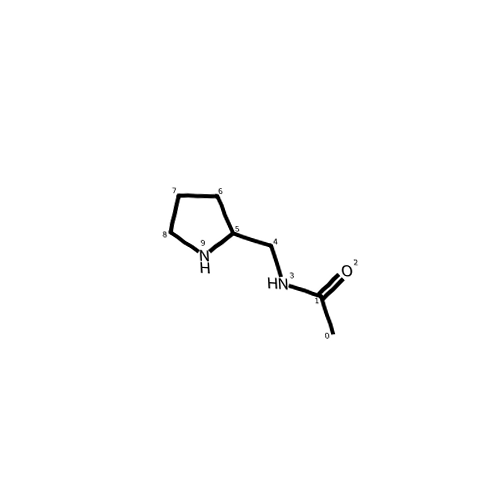 CC(=O)NCC1CCCN1